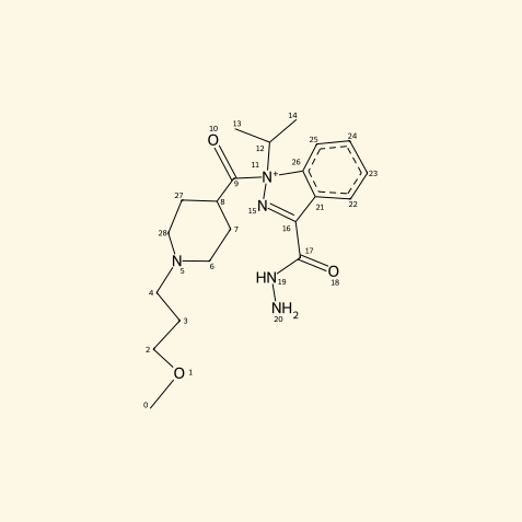 COCCCN1CCC(C(=O)[N+]2(C(C)C)N=C(C(=O)NN)c3ccccc32)CC1